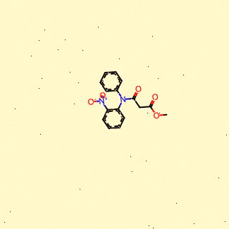 COC(=O)CC(=O)N(c1ccccc1)c1ccccc1[N+](=O)[O-]